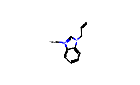 C=CCn1c[n+](CCCC)c2ccccc21